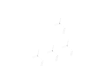 O=CC(=O)[O-].O=CC(=O)[O-].O=CC(=O)[O-].O=CC(=O)[O-].[Zr+4]